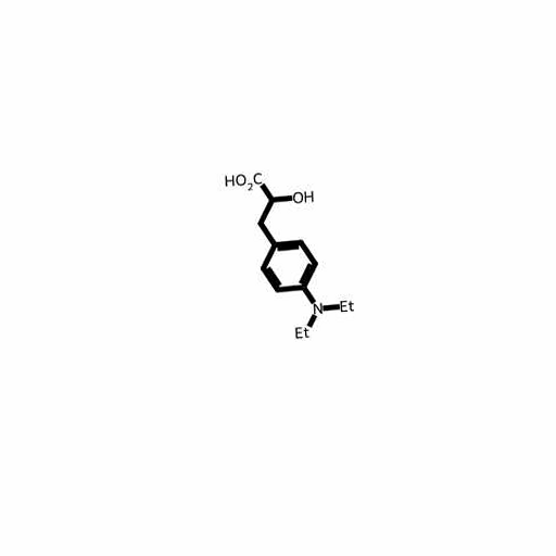 CCN(CC)c1ccc(CC(O)C(=O)O)cc1